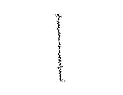 CCCCCCCCCCCCCCCCCCNNCCOCCOCCOCCOCCOCCOCCOCCOCCOCCOCCOCCNN